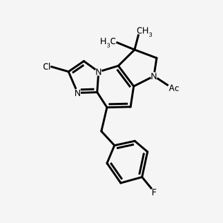 CC(=O)N1CC(C)(C)c2c1cc(Cc1ccc(F)cc1)c1nc(Cl)cn21